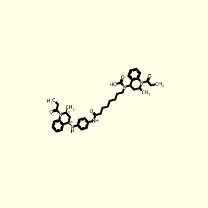 CCC(=O)N1c2ccccc2C(N(CCCCCCCC(=O)Nc2ccc(N[C@@H]3C[C@H](C)N(C(=O)CC)c4ccccc43)cc2)C(=O)O)CC1C